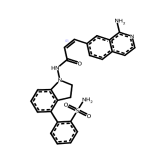 Nc1nccc2ccc(/C=C\C(=O)NN3CCc4c(-c5ccccc5S(N)(=O)=O)cccc43)cc12